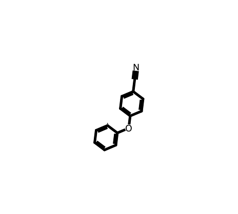 N#Cc1ccc(Oc2[c]cccc2)cc1